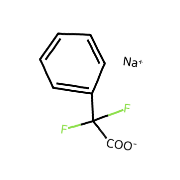 O=C([O-])C(F)(F)c1ccccc1.[Na+]